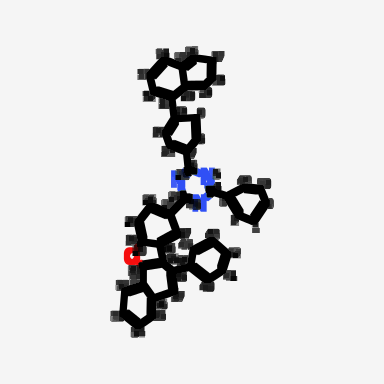 c1ccc(-c2nc(-c3ccc(-c4cccc5ccccc45)cc3)nc(-c3ccc4oc5c6ccccc6cc(-c6ccccc6)c5c4c3)n2)cc1